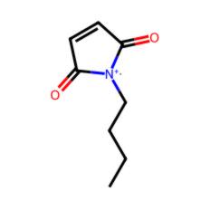 CCCC[N+]1C(=O)C=CC1=O